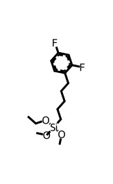 CCO[Si](CCCCCc1ccc(F)cc1F)(OC)OC